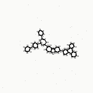 C1=C(c2ccccc2)N=C(c2ccc(-c3ccccc3)cc2)N=C(c2ccc3oc4cc(-c5ccc6c7ccccc7c7ccccc7c6c5)ccc4c3c2)C1